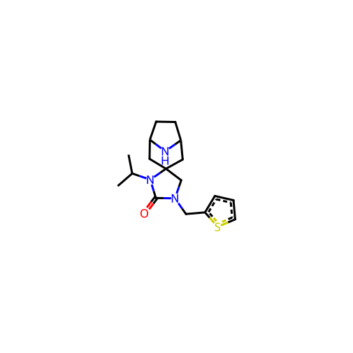 CC(C)N1C(=O)N(Cc2cccs2)CC12CC1CCC(C2)N1